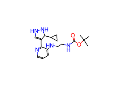 CC(C)(C)OC(=O)NCCNc1cccnc1C1=CNNC1C1CC1